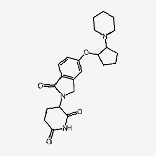 O=C1CCC(N2Cc3cc(OC4CCCC4N4CCCCC4)ccc3C2=O)C(=O)N1